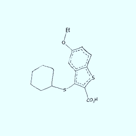 CCOc1ccc2sc(C(=O)O)c(SC3CCCCC3)c2c1